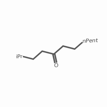 CCCCCCCC(=O)CCC(C)C